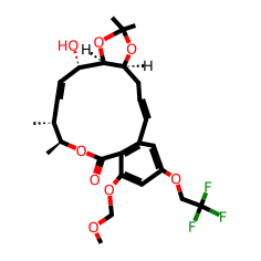 COCOc1cc(OCC(F)(F)F)cc2c1C(=O)O[C@@H](C)[C@H](C)/C=C\[C@H](O)[C@H]1OC(C)(C)O[C@H]1C/C=C/2